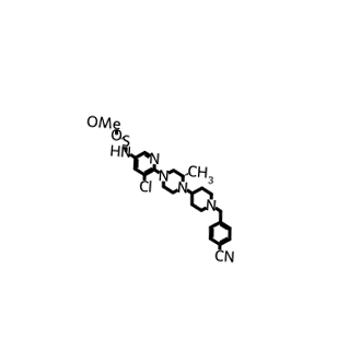 COOSNc1cnc(N2CCN(C3CCN(Cc4ccc(C#N)cc4)CC3)[C@@H](C)C2)c(Cl)c1